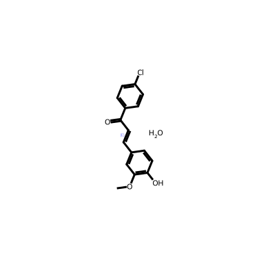 COc1cc(/C=C/C(=O)c2ccc(Cl)cc2)ccc1O.O